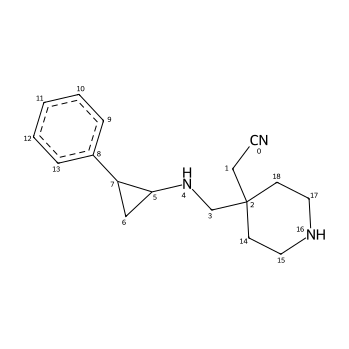 N#CCC1(CNC2CC2c2ccccc2)CCNCC1